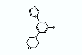 Fc1cc(N2CCOCC2)cc(-n2ccnc2)c1